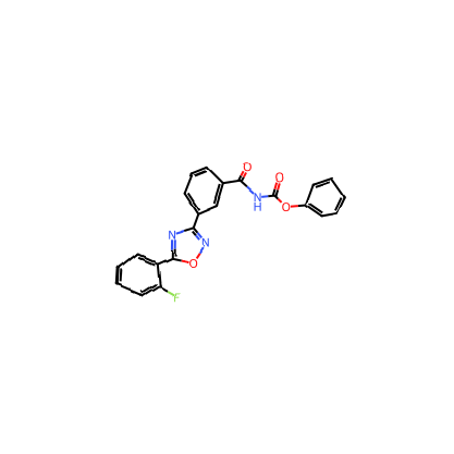 O=C(NC(=O)c1cccc(-c2noc(-c3ccccc3F)n2)c1)Oc1ccccc1